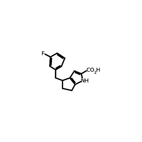 O=C(O)c1cc2c([nH]1)CCC2Cc1cccc(F)c1